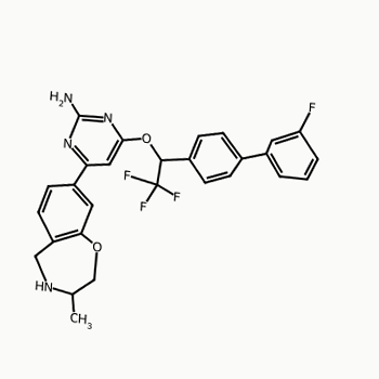 CC1COc2cc(-c3cc(OC(c4ccc(-c5cccc(F)c5)cc4)C(F)(F)F)nc(N)n3)ccc2CN1